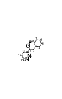 O=C(Cc1ccccc1F)c1cccnn1